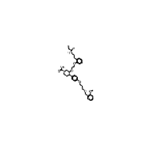 CCC(=O)NCCc1ccccc1OCCOC1CN(C(=O)O)CCC1c1ccc(OCCCOCc2ccccc2OC)cc1